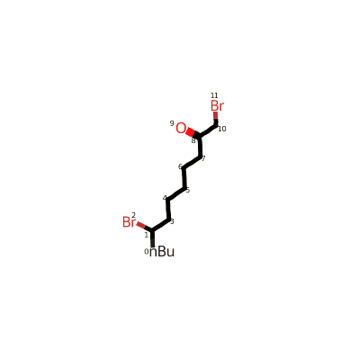 CCCCC(Br)CCCCCC(=O)CBr